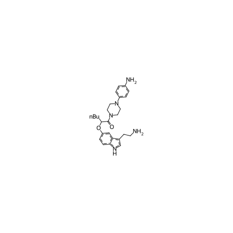 CCCCC(Oc1ccc2[nH]cc(CCN)c2c1)C(=O)N1CCN(c2ccc(N)cc2)CC1